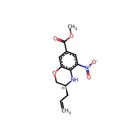 C=CC[C@H]1COc2cc(C(=O)OC)cc([N+](=O)[O-])c2N1